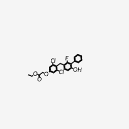 CCOC(=O)COc1cc(Cl)c(Cc2ccc(O)c(-c3ccccc3)c2F)c(Cl)c1